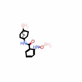 BONc1ccccc1C(=O)NC12CCC(B)(CC1)CC2